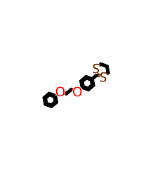 c1ccc(OCCOc2ccc(C3SCCCS3)cc2)cc1